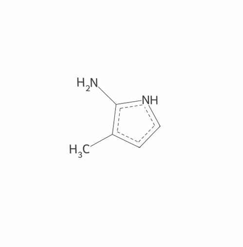 Cc1cc[nH]c1N